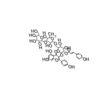 CC1OC(OCC2OC(Oc3c(-c4ccc(O)cc4)oc4cc(O)cc(O)c4c3=O)C(OC(=O)/C=C/c3ccc(O)cc3)C(O)C2O)C(O)C(OC2OC(CO)C(O)C(O)C2O)C1O